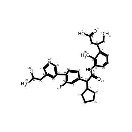 CCC(CC(=O)O)c1cccc(NC(=O)C(c2ccc(-c3cncc(CC(C)Cl)c3)c(F)c2)C2CCCC2)c1C